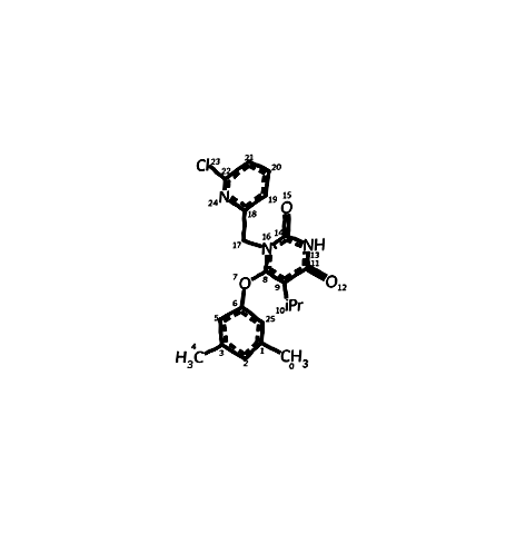 Cc1cc(C)cc(Oc2c(C(C)C)c(=O)[nH]c(=O)n2Cc2cccc(Cl)n2)c1